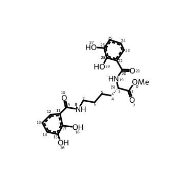 COC(=O)[C@H](CCCCNC(=O)c1cccc(O)c1O)NC(=O)c1cccc(O)c1O